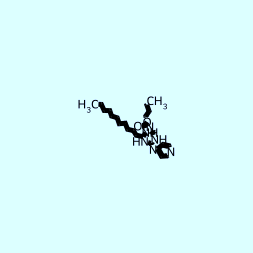 CCCCCCCCCCCC(NC(=O)OCCCC)NC(=Nc1ccncc1)NC#N